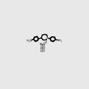 Cl.Cl.Cl.Cl.Nc1ccc(C2CCCN(c3ccc(N)cc3)NC2)cc1.O